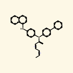 C=C(/C=C\C=C/C)N(c1ccc(Nc2cccc3ccccc23)cc1)c1ccc(-c2ccccc2)cc1